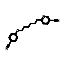 N#Cc1ccc(OCCCCCOc2ccc(C#N)cn2)cc1